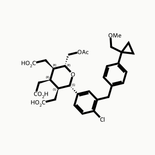 COCC1(c2ccc(Cc3cc([C@H]4O[C@@H](COC(C)=O)[C@H](CC(=O)O)[C@H](CC(=O)O)[C@@H]4CC(=O)O)ccc3Cl)cc2)CC1